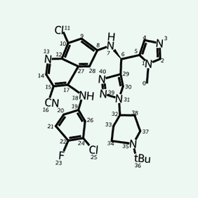 Cn1cncc1[C@H](Nc1cc(Cl)c2ncc(C#N)c(Nc3ccc(F)c(Cl)c3)c2c1)c1cn(C2CCN(C(C)(C)C)CC2)nn1